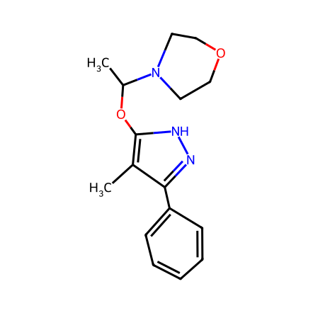 Cc1c(-c2ccccc2)n[nH]c1OC(C)N1CCOCC1